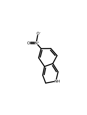 O=[N+]([O-])c1ccc2c(c1)=CCNC=2